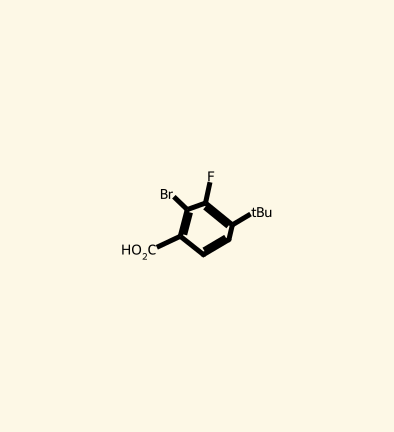 CC(C)(C)c1ccc(C(=O)O)c(Br)c1F